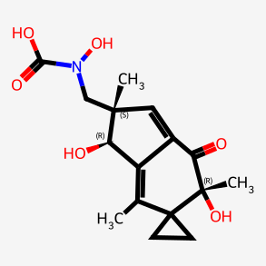 CC1=C2C(=C[C@@](C)(CN(O)C(=O)O)[C@@H]2O)C(=O)[C@](C)(O)C12CC2